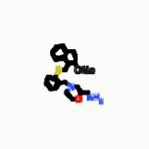 COc1ccc2ccccc2c1CSc1ccccc1CN1CCOC(CN)C1